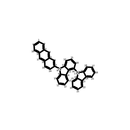 c1ccc2cc3cc(-n4c5ccccc5c5c(-n6c7ccccc7c7ccccc76)cccc54)ccc3cc2c1